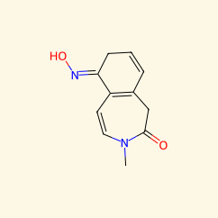 CN1C=CC2=C(C=CCC2=NO)CC1=O